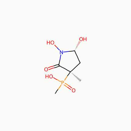 C[C@@]1(P(C)(=O)O)C[C@@H](O)N(O)C1=O